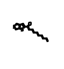 CCCCCCCCCC(=O)c1cc2c(s1)CSC2